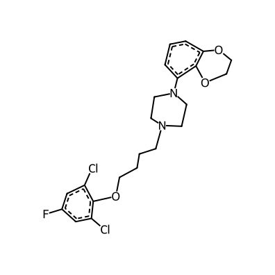 Fc1cc(Cl)c(OCCCCN2CCN(c3cccc4c3OCCO4)CC2)c(Cl)c1